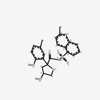 COc1ccc(C)cc1C1(C(=O)NS(=O)(=O)c2cccc3nc(C)ccc23)CC(OC)CO1